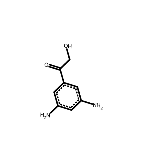 Nc1cc(N)cc(C(=O)CO)c1